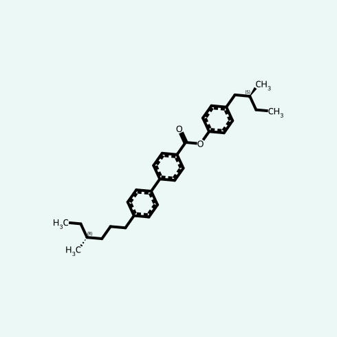 CC[C@@H](C)CCCc1ccc(-c2ccc(C(=O)Oc3ccc(C[C@@H](C)CC)cc3)cc2)cc1